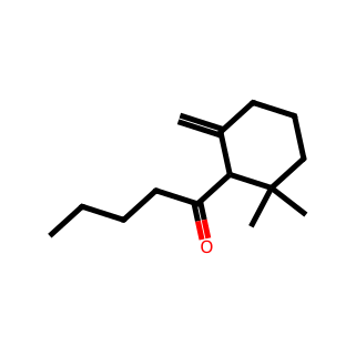 C=C1CCCC(C)(C)C1C(=O)CCCC